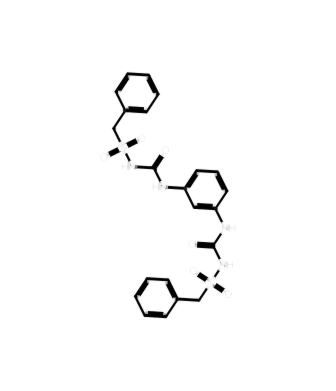 O=C(Nc1cccc(NC(=O)NS(=O)(=O)Cc2ccccc2)c1)NS(=O)(=O)Cc1ccccc1